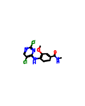 CNC(=O)c1ccc(Nc2nc(Cl)ncc2Cl)c(OC)c1